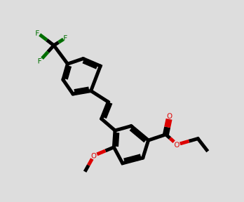 CCOC(=O)c1ccc(OC)c(C=Cc2ccc(C(F)(F)F)cc2)c1